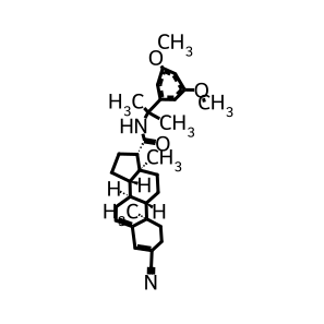 COc1cc(OC)cc(C(C)(C)NC(=O)[C@H]2CC[C@H]3[C@@H]4CC=C5C=C(C#N)CC[C@]5(C)[C@H]4CC[C@]23C)c1